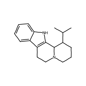 CC(C)C1CCCN2CCc3c([nH]c4ccccc34)C12